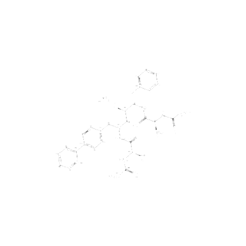 COC(=O)N[C@H](C(=O)N[C@@H](Cc1ccccc1)[C@H](O)CN(Cc1ccc(-c2ccccn2)cc1)NC(=O)[C@H](NC(=O)OC)C(C)(C)C)C(C)(C)C.[CaH2]